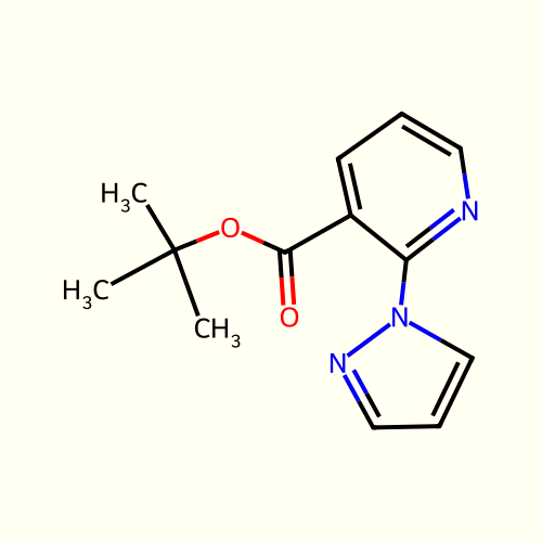 CC(C)(C)OC(=O)c1cccnc1-n1cccn1